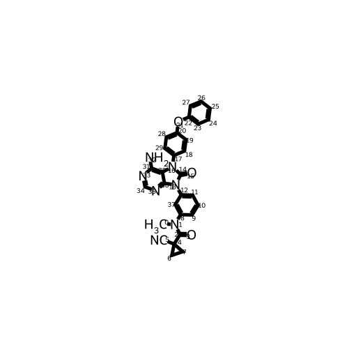 CN(C(=O)C1(C#N)CC1)c1cccc(-n2c(=O)n(-c3ccc(Oc4ccccc4)cc3)c3c(N)ncnc32)c1